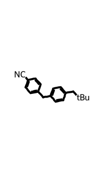 CC(C)(C)Cc1ccc(Cc2ccc(C#N)cc2)cc1